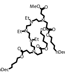 CCCCCCCCCCCCCCOC(=O)CCN(CCC(=O)OC)CCN(CC)CCN(CC)CCN(CC)CCN(CCC(=O)OCCCCCCCCCCCCCC)CCC(=O)OCCCCCCCCCCCCCC